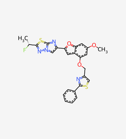 COc1cc(OCc2csc(-c3ccccc3)n2)c2cc(-c3cn4nc([C@@H](C)F)sc4n3)oc2c1